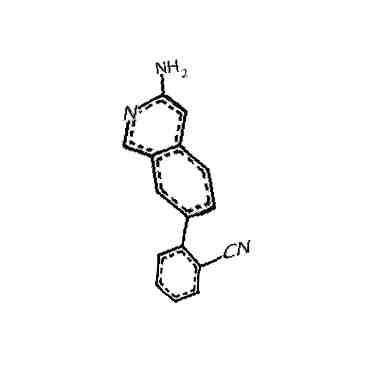 N#Cc1ccccc1-c1ccc2cc(N)ncc2c1